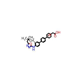 CC(C)(C)Cc1nnc(Nc2ccc(-c3ccc(C45CCC(CC(=O)O)(CC4)OC5)cc3)cc2)o1